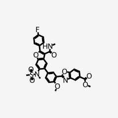 CNC(=O)c1c(-c2ccc(F)cc2)oc2cc(N(C)S(C)(=O)=O)c(-c3ccc(OC)c(-c4nc5cc(C(=O)OC)ccc5o4)c3)cc12